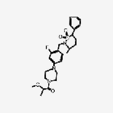 COC(C)C(=O)N1CCN(c2ccc(CN3C(C)CCC(c4ccccc4)S3(=O)=O)c(F)c2)CC1